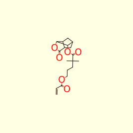 C=CC(=O)OCCCC(C)(C)C(=O)OC1C2CC3C(=O)OC1C3C2